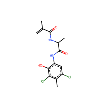 C=C(C)C(=O)NC(C)C(=O)Nc1cc(Cl)c(C)c(Cl)c1O